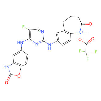 C[N+]1(OC(=O)C(F)(F)F)C(=O)CCCc2cc(Nc3ncc(F)c(Nc4ccc5oc(=O)[nH]c5c4)n3)ccc21